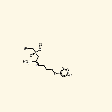 CCOP(=O)(C/C(=C\CCCSc1c[nH]nn1)C(=O)O)CC(C)C